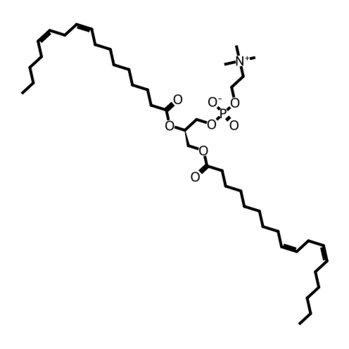 CCCC/C=C\C/C=C\CCCCCCCC(=O)O[C@H](COC(=O)CCCCCCC/C=C\C/C=C\CCCCC)COP(=O)([O-])OCC[N+](C)(C)C